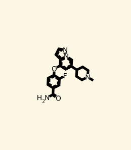 CN1CCC(c2cc(Oc3ccc(C(N)=O)cc3F)c3ccnn3c2)CC1